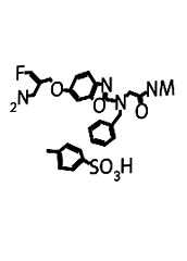 CNC(=O)CN(Cc1ccccc1)c1nc2ccc(OC/C(=C/F)CN)cc2o1.Cc1ccc(S(=O)(=O)O)cc1